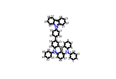 c1ccc(N2c3ccccc3B3c4cc(-c5ccc(-n6c7ccccc7c7ccccc76)cc5)ccc4N(c4ccccc4)c4cccc2c43)cc1